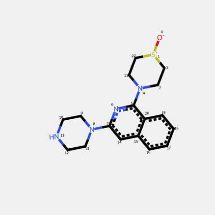 [O-][S+]1CCN(c2nc(N3CCNCC3)cc3ccccc23)CC1